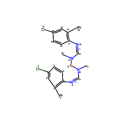 CC(C)c1cc(Cl)ccc1/N=C\N(C)SN(C)/C=N\c1ccc(Cl)cc1C(C)C